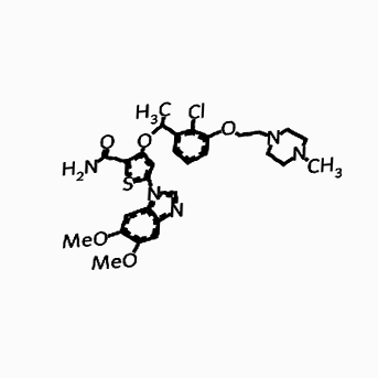 COc1cc2ncn(-c3cc(OC(C)c4cccc(OCCN5CCN(C)CC5)c4Cl)c(C(N)=O)s3)c2cc1OC